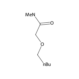 CCCCCOCC(=O)NC